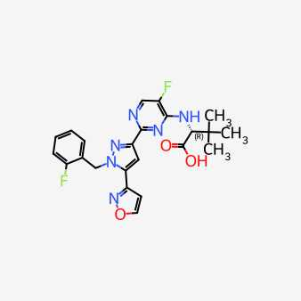 CC(C)(C)[C@@H](Nc1nc(-c2cc(-c3ccon3)n(Cc3ccccc3F)n2)ncc1F)C(=O)O